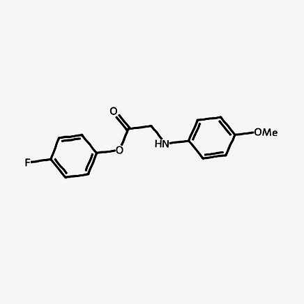 COc1ccc(NCC(=O)Oc2ccc(F)cc2)cc1